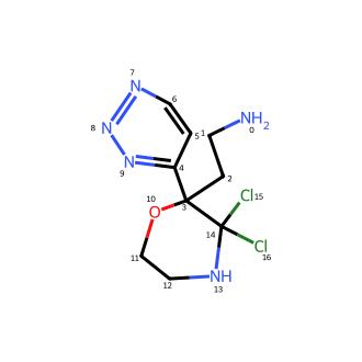 NCCC1(c2ccnnn2)OCCNC1(Cl)Cl